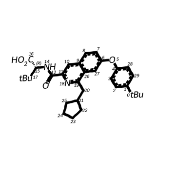 CC(C)(C)c1ccc(Oc2ccc3cc(C(=O)N[C@@H](C(=O)O)C(C)(C)C)nc(CC4CCCC4)c3c2)cc1